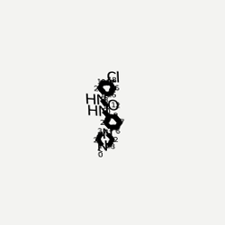 CN1CCN(c2cccc(NC(=O)Nc3ccc(Cl)cc3)c2)CC1